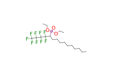 CCCCCCCCCCC(C(F)(F)C(F)(F)C(F)(F)C(F)(F)F)P(=O)(OCC)OCC